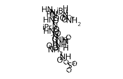 CC[C@H](C)[C@@H](CCC(=O)N[C@@H](CC1CC1)C(N)=O)NC(=O)[C@H](Cc1c[nH]cn1)NC(=O)CN(C)C(=O)[C@@H](NC(=O)[C@H](C)NC(=O)[C@H](Cc1c[nH]c2ccccc12)NC(=O)[C@H](CCC(N)=O)NC(=O)CCCCNC(=O)c1ccc([S+](c2ccccc2)c2ccccc2)cc1)C(C)C